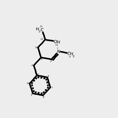 CN=CC(Cc1ccccc1)CC(C)O